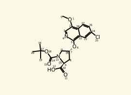 COc1cnc(O[C@@H]2C[C@@H](C(=O)O)N(C(=O)OC(C)(C)C)C2)c2cc(Cl)ccc12